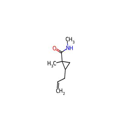 C=CCC1CC1(C)C(=O)NC